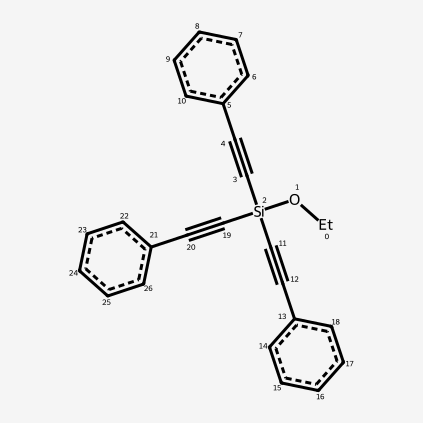 CCO[Si](C#Cc1ccccc1)(C#Cc1ccccc1)C#Cc1ccccc1